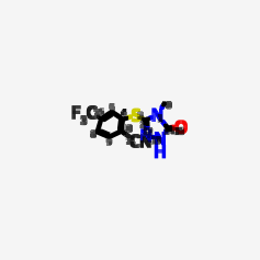 Cn1c(Sc2cc(C(F)(F)F)ccc2C#N)n[nH]c1=O